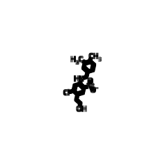 Cc1ccc(CNc2cc(Cl)c(CCO)cc2[N+](=O)[O-])cc1C